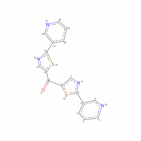 O=C(c1cnc(-c2cccnc2)s1)c1cnc(-c2cccnc2)s1